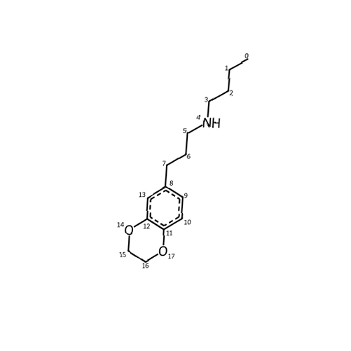 CCCCNCCCc1ccc2c(c1)OCCO2